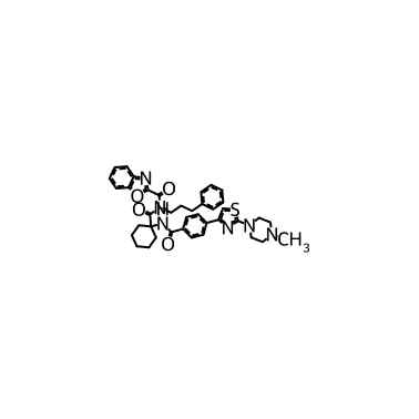 CN1CCN(c2nc(-c3ccc(C(=O)NC4(C(=O)N(CCCc5ccccc5)C(=O)c5nc6ccccc6o5)CCCCC4)cc3)cs2)CC1